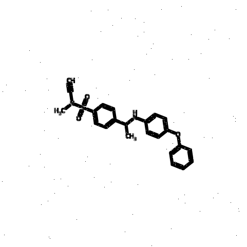 C#CN(C)S(=O)(=O)c1ccc(C(C)Nc2ccc(Oc3ccccc3)cc2)cc1